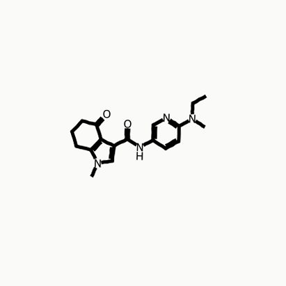 CCN(C)c1ccc(NC(=O)c2cn(C)c3c2C(=O)CCC3)cn1